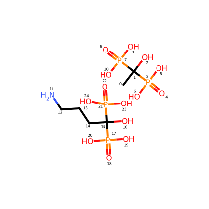 CC(O)(P(=O)(O)O)P(=O)(O)O.NCCCC(O)(P(=O)(O)O)P(=O)(O)O